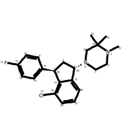 CN1CCN([C@H]2C[C@H](c3ccc(F)cc3)c3c(Cl)cccc32)CC1(C)C